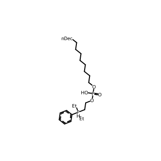 CCCCCCCCCCCCCCCCCCOP(=O)(O)OCC[PH](CC)(CC)c1ccccc1